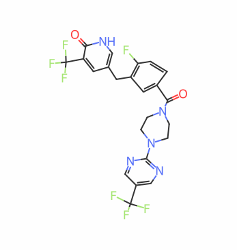 O=C(c1ccc(F)c(Cc2c[nH]c(=O)c(C(F)(F)F)c2)c1)N1CCN(c2ncc(C(F)(F)F)cn2)CC1